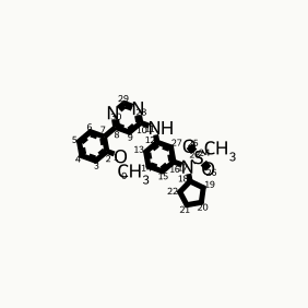 COc1ccccc1-c1cc(Nc2cccc(N(C3CCCC3)S(C)(=O)=O)c2)ncn1